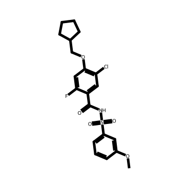 COc1cccc(S(=O)(=O)NC(=O)c2cc(Cl)c(OCC3CCCC3)cc2F)c1